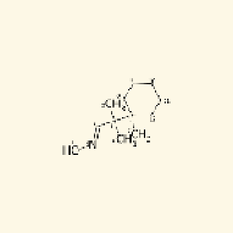 CC(C)(C=NO)C1(C)CCCCC1